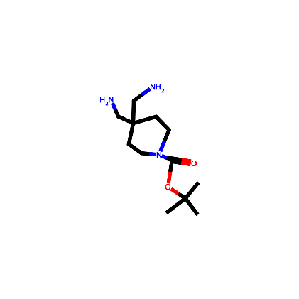 CC(C)(C)OC(=O)N1CCC(CN)(CN)CC1